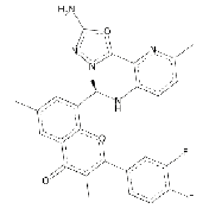 Cc1cc([C@@H](C)Nc2ccc(C)nc2-c2nnc(N)o2)c2oc(-c3ccc(F)c(F)c3)c(C)c(=O)c2c1